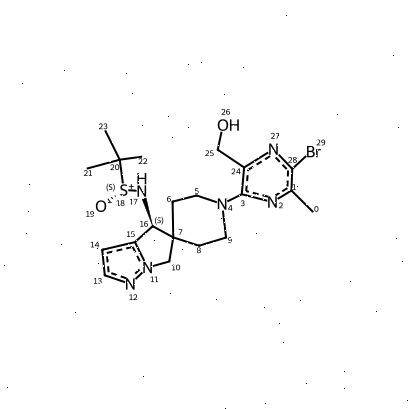 Cc1nc(N2CCC3(CC2)Cn2nccc2[C@H]3N[S@+]([O-])C(C)(C)C)c(CO)nc1Br